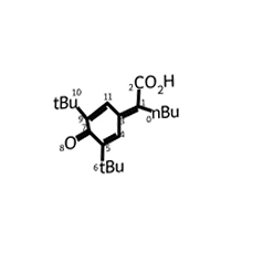 CCCCC(C(=O)O)=C1C=C(C(C)(C)C)C(=O)C(C(C)(C)C)=C1